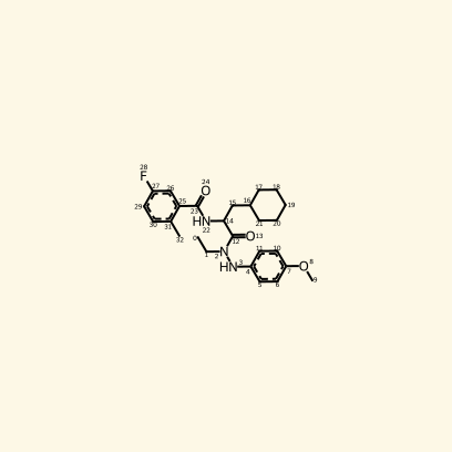 CCN(Nc1ccc(OC)cc1)C(=O)C(CC1CCCCC1)NC(=O)c1cc(F)ccc1C